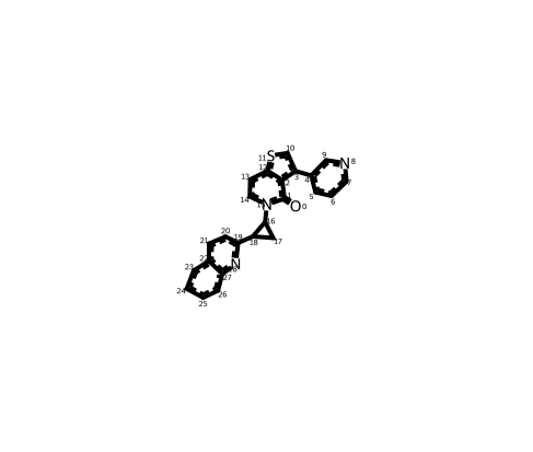 O=c1c2c(-c3cccnc3)csc2ccn1C1CC1c1ccc2ccccc2n1